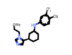 COCCn1cncc1C1CCCC(Nc2ccc(C#N)c(C(F)(F)F)c2)C1